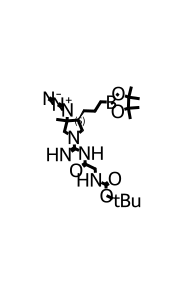 CC(C)(C)OC(=O)NCC(=O)NC(=N)N1C[C@H](CCCB2OC(C)(C)C(C)(C)O2)C(C)(N=[N+]=[N-])C1